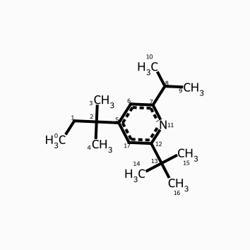 CCC(C)(C)c1cc(C(C)C)nc(C(C)(C)C)c1